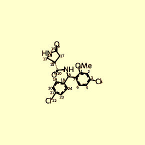 COc1cc(Cl)ccc1C(NC(=O)[C@@H]1CNC(=O)C1)c1ccc(Cl)cc1